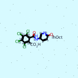 CCCCCCCCOc1ccc(NC(=O)c2c(Cl)c(Cl)c(Cl)c(Cl)c2C(=O)O)cn1